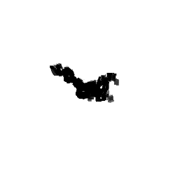 C[C@@]1(c2cc(C#Cc3ccc(C#N)cc3)ccc2F)C[C@@H](C(F)(F)F)OC(N)=N1